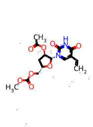 C=Cc1cn([C@@H]2O[C@H](COC(=O)OC)C[C@H]2OC(C)=O)c(=O)[nH]c1=O